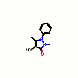 Cc1c(C(C)(C)C)c(=O)n(C)n1-c1ccccc1